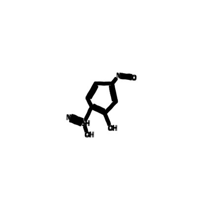 N#[SH](O)c1ccc(N=O)cc1O